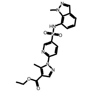 CCOC(=O)c1cnn(-c2ccc(S(=O)(=O)Nc3cccc4cnn(C)c34)cn2)c1C